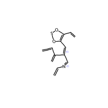 C=C/N=C\C(=C\C1=C(C=C)OSO1)C(=C)C=C